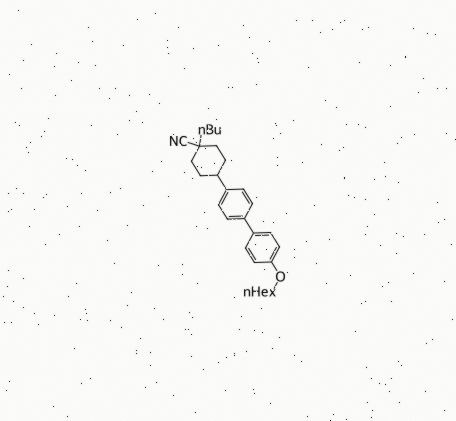 CCCCCCOc1ccc(-c2ccc(C3CCC(C#N)(CCCC)CC3)cc2)cc1